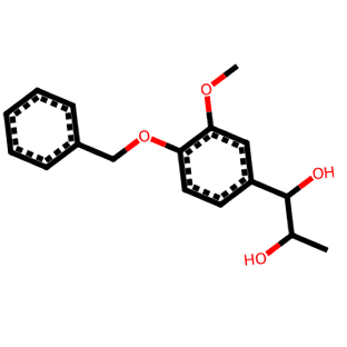 COc1cc(C(O)C(C)O)ccc1OCc1ccccc1